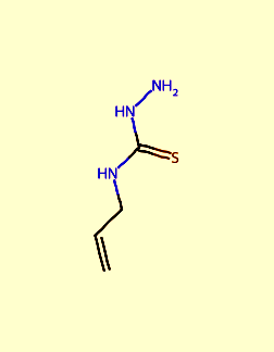 C=CCNC(=S)NN